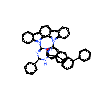 c1ccc(-c2cccc(-c3cccc(-n4c5ccccc5c5ccc6c7ccccc7n(C7=NC(c8ccccc8)NC(c8ccccc8)N7)c6c54)c3)c2)cc1